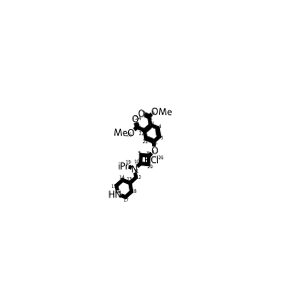 COC(=O)c1ccc(OC2CC(N(CC3CCNCC3)C(C)C)C2)cc1C(=O)OC.Cl